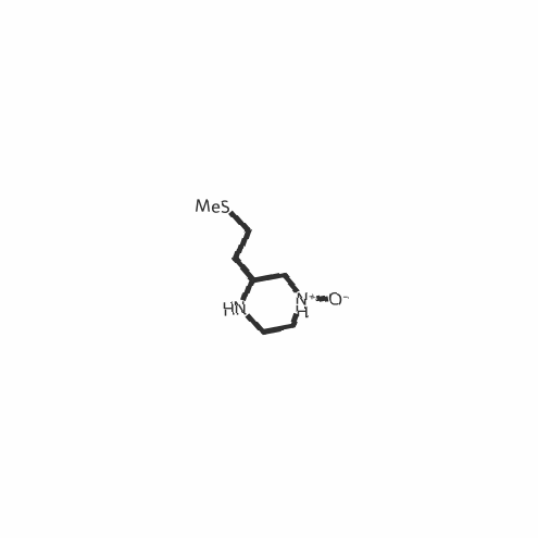 CSCCC1C[NH+]([O-])CCN1